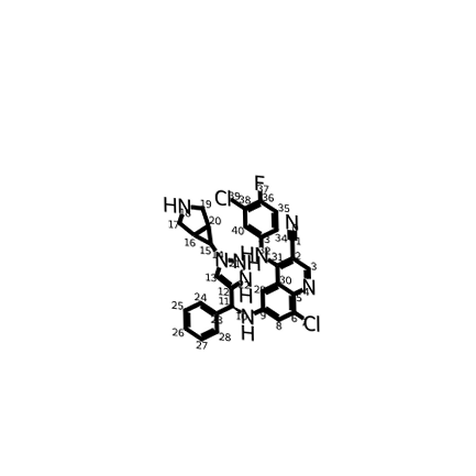 N#Cc1cnc2c(Cl)cc(N[C@H](C3=CN(C4C5CNCC54)NN3)c3ccccc3)cc2c1Nc1ccc(F)c(Cl)c1